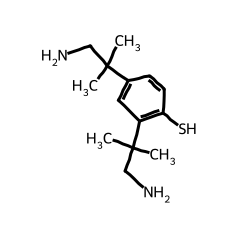 CC(C)(CN)c1ccc(S)c(C(C)(C)CN)c1